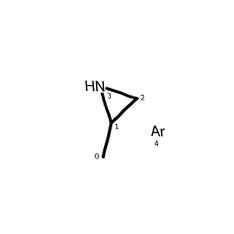 CC1CN1.[Ar]